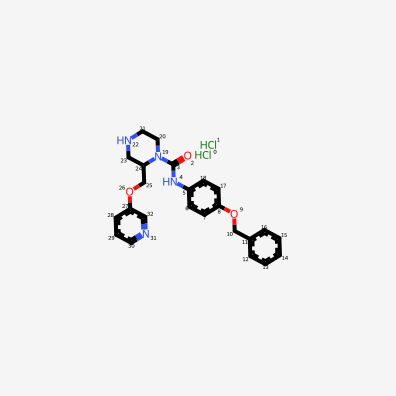 Cl.Cl.O=C(Nc1ccc(OCc2ccccc2)cc1)N1CCNCC1COc1cccnc1